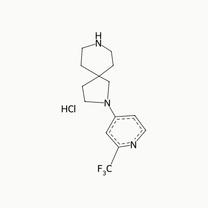 Cl.FC(F)(F)c1cc(N2CCC3(CCNCC3)C2)ccn1